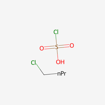 CCCCCl.O=S(=O)(O)Cl